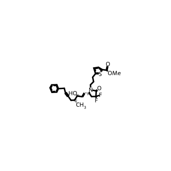 COC(=O)c1ccc(CCCN2C(=O)C(F)(F)C[C@@H]2C=C[C@H](O)[C@H](C)CC#CCc2ccccc2)s1